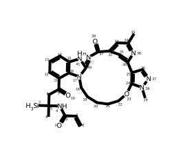 C=CC(=O)NC(C)([SiH3])CC(=O)c1cccc2c1N1CCCCCOc3c(cnn3C)-c3cc(cc(C)n3)C(=O)/N=C/1N2